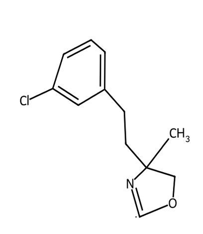 CC1(CCc2cccc(Cl)c2)CO[C]=N1